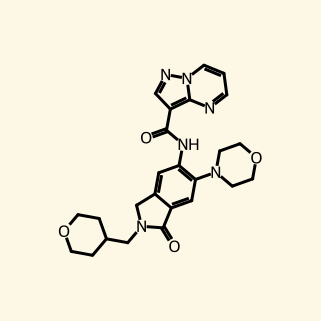 O=C(Nc1cc2c(cc1N1CCOCC1)C(=O)N(CC1CCOCC1)C2)c1cnn2cccnc12